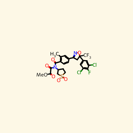 COC(=O)C(=O)N(C(=O)c1ccc(C2=NOC(c3cc(Cl)c(F)c(Cl)c3)(C(F)(F)F)C2)cc1C)C1CCS(=O)(=O)C1